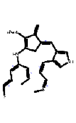 C=C1C(CCCCC)=C(NC(/C=C\C)=C/C=C/F)C/C1=C\c1c[nH]cc1/C=C\C=N/C